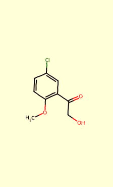 COc1ccc(Cl)cc1C(=O)CO